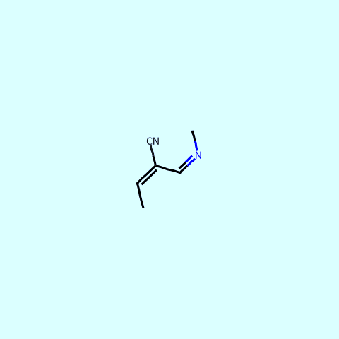 C/C=C(C#N)\C=N/C